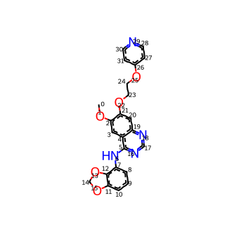 COc1cc2c(Nc3cccc4c3OCO4)ncnc2cc1OCCOc1ccncc1